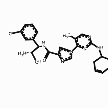 Cc1cnc(NC2CC=CCC2)nc1-n1cnc(C(=O)N[C@@H](c2cccc(Cl)c2)[C@@H](N)O)c1